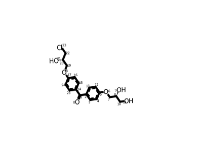 O=C(c1ccc(OC[C@H](O)CO)cc1)c1ccc(OC[C@H](O)CCl)cc1